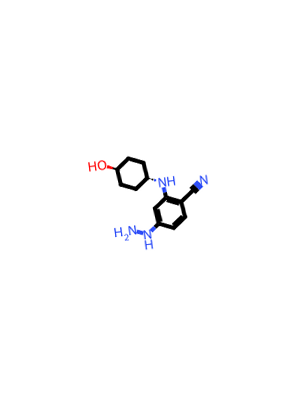 N#Cc1ccc(NN)cc1N[C@H]1CC[C@H](O)CC1